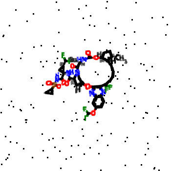 C[C@H]1CC[C@H]2OC(=O)N[C@@H](C(C)(C)C)C(=O)N3C[C@@H](C[C@H]3C(=O)N[C@]3(C(=O)NS(=O)(=O)C4CC4)C[C@H]3C(F)F)Oc3nc4cc(OC(F)F)ccc4nc3C(F)(F)CCCC[C@H]12